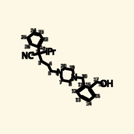 CC(C)C(C#N)(CCCN1CCN(Cc2ccccc2CO)CC1)c1ccccc1